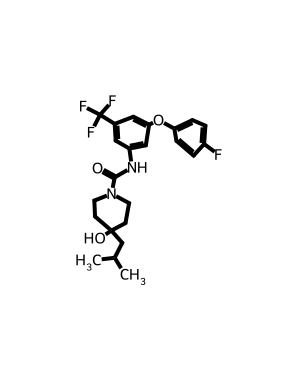 CC(C)CC1(O)CCN(C(=O)Nc2cc(Oc3ccc(F)cc3)cc(C(F)(F)F)c2)CC1